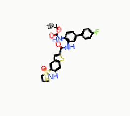 CC(C)(C)OC(=O)Nc1ccc(-c2ccc(F)cc2)cc1NC(=O)c1cc2cc([SH]3(=O)CCCN3)ccc2s1